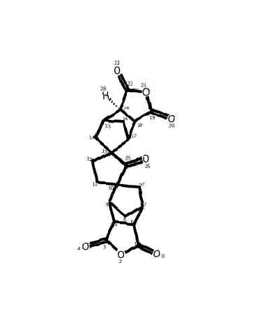 O=C1OC(=O)C2C1C1CC2C2(CCC3(CC4CC3C3C(=O)OC(=O)[C@H]43)C2=O)C1